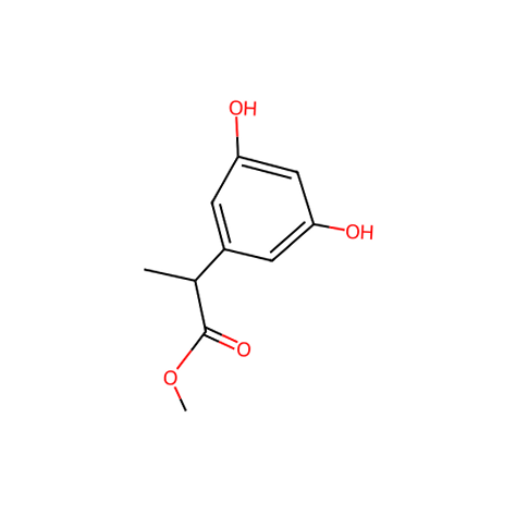 COC(=O)C(C)c1cc(O)cc(O)c1